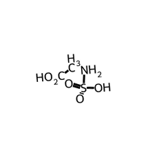 CC(=O)O.NS(=O)(=O)O